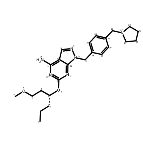 CCC[C@H](CCOC)Oc1nc(N)c2cnn(Cc3ccc(CN4CCCC4)cc3)c2n1